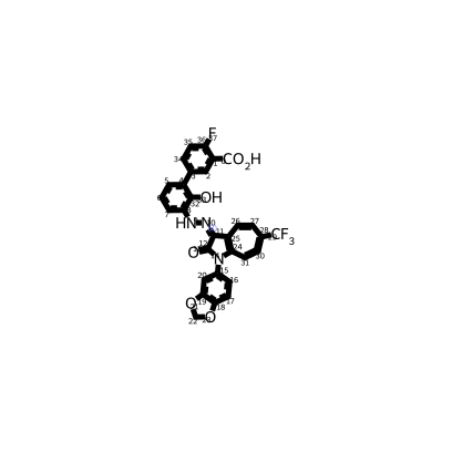 O=C(O)c1cc(-c2cccc(N/N=C3\C(=O)N(c4ccc5c(c4)OCO5)C4=C3C=CC(C(F)(F)F)=C=C4)c2O)ccc1F